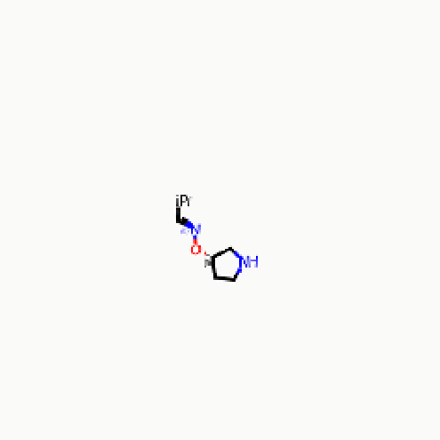 CC(C)/C=N/O[C@H]1CCNC1